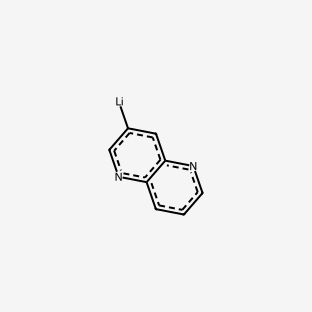 [Li][c]1cnc2cccnc2c1